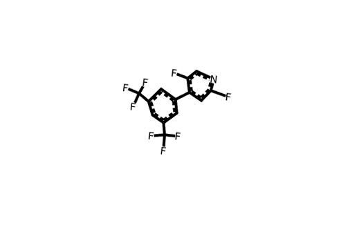 Fc1cc(-c2cc(C(F)(F)F)cc(C(F)(F)F)c2)c(F)cn1